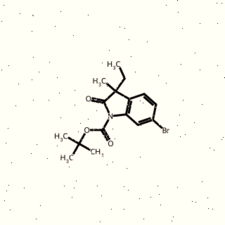 CCC1(C)C(=O)N(C(=O)OC(C)(C)C)c2cc(Br)ccc21